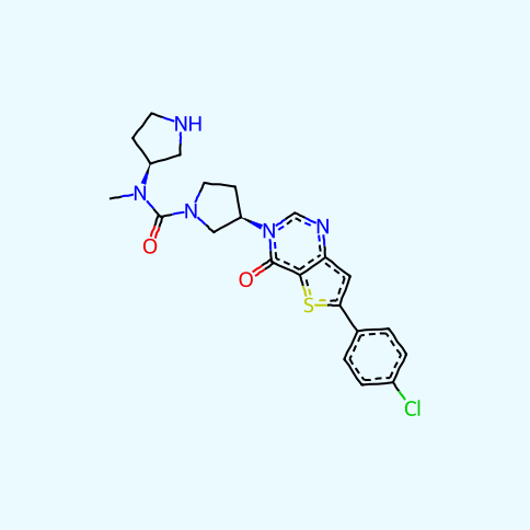 CN(C(=O)N1CC[C@@H](n2cnc3cc(-c4ccc(Cl)cc4)sc3c2=O)C1)[C@H]1CCNC1